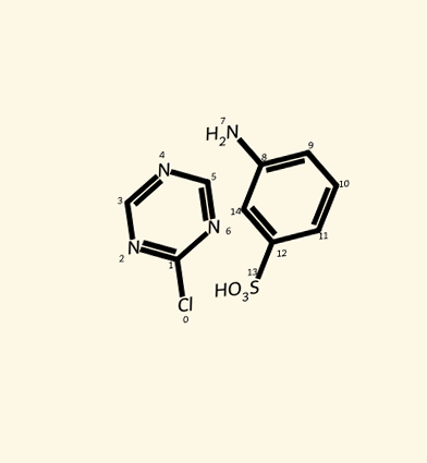 Clc1ncncn1.Nc1cccc(S(=O)(=O)O)c1